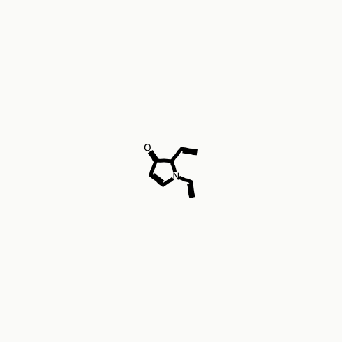 C=CC1C(=O)C=CN1C=C